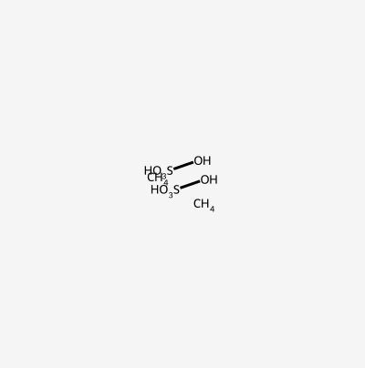 C.C.O=S(=O)(O)O.O=S(=O)(O)O